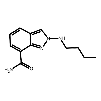 CCCCNn1cc2cccc(C(N)=O)c2n1